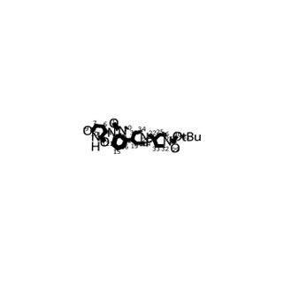 Cn1c(=O)n(C2CCC(=O)NC2=O)c2cccc(C3CCN(CC4(F)CCN(C(=O)OC(C)(C)C)CC4)CC3)c21